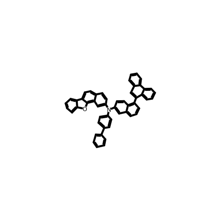 c1ccc(-c2ccc(N(c3ccc4c(-c5cc6ccccc6c6ccccc56)cccc4c3)c3ccc4ccc5c6ccccc6oc5c4c3)cc2)cc1